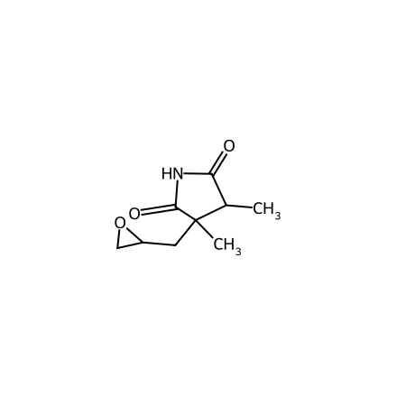 CC1C(=O)NC(=O)C1(C)CC1CO1